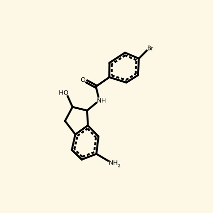 Nc1ccc2c(c1)C(NC(=O)c1ccc(Br)cc1)C(O)C2